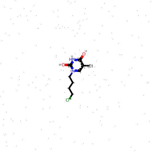 CCc1cn(CCCCCl)c(=O)[nH]c1=O